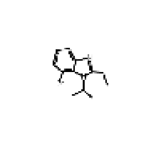 CCc1nc2cccc(Br)c2n1C(C)C